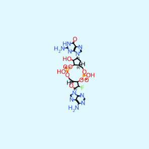 Nc1nc2c(ncn2[C@@H]2C[C@@H]3COP(=O)(O)OC4C(F)[C@H](n5cnc6c(N)ncnc65)O[C@@H]4COP(=O)(O)OC3C2O)c(=O)[nH]1